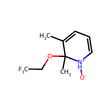 CC1=CC=C[NH+]([O-])C1(C)OCC(F)(F)F